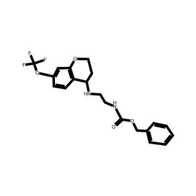 O=C(NCCNC1CCOc2cc(OC(F)(F)F)ccc21)OCc1ccccc1